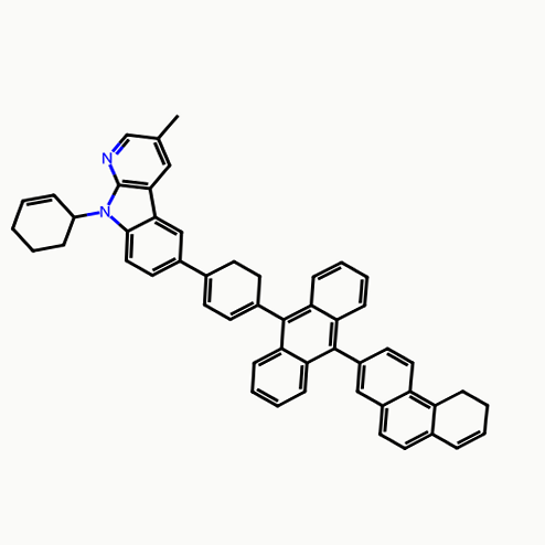 Cc1cnc2c(c1)c1cc(C3=CC=C(c4c5ccccc5c(-c5ccc6c7c(ccc6c5)C=CCC7)c5ccccc45)CC3)ccc1n2C1C=CCCC1